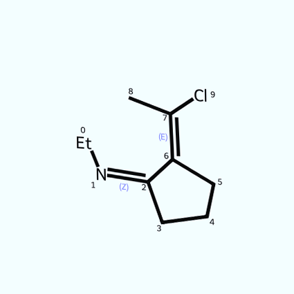 CC/N=C1/CCC/C1=C(/C)Cl